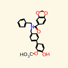 O=C(O)Oc1cc(-c2ccc(CN(Cc3ccccc3)C(=O)c3ccc4c(c3)OCO4)cc2)ccc1O